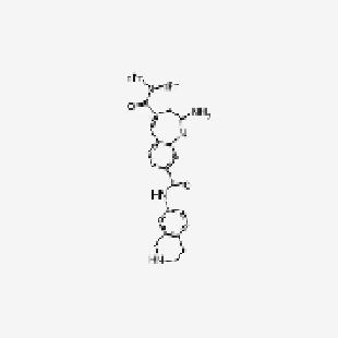 CCCN(CCC)C(=O)C1=Cc2ccc(C(=O)Nc3ccc4c(c3)CNCC4)cc2N=C(N)C1